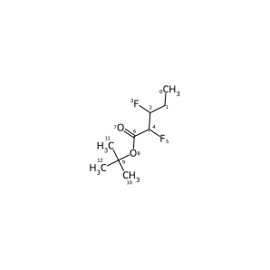 CCC(F)[C](F)C(=O)OC(C)(C)C